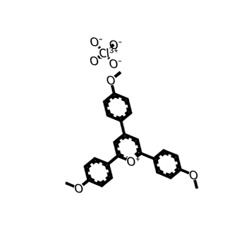 COc1ccc(-c2cc(-c3ccc(OC)cc3)[o+]c(-c3ccc(OC)cc3)c2)cc1.[O-][Cl+3]([O-])([O-])[O-]